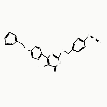 N#Cc1c(-c2ccc(OCc3ccccc3)cc2)nc(SCc2ccc(N=[N+]=[N-])cc2)[nH]c1=O